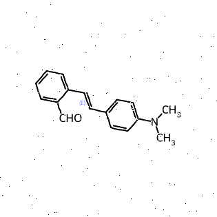 CN(C)c1ccc(/C=C/c2ccccc2C=O)cc1